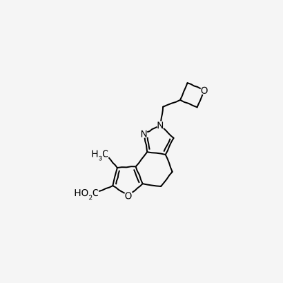 Cc1c(C(=O)O)oc2c1-c1nn(CC3COC3)cc1CC2